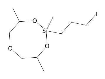 CC1COCC(C)O[Si](C)(CCCI)O1